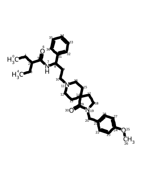 CCC(CC)C(=O)NC(CCN1CCC2(CC1)CCN(Cc1ccc(OC)cc1)C2=O)c1ccccc1